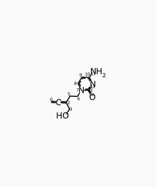 C=C=C(CO)CCn1ccc(N)nc1=O